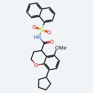 COc1ccc(C2CCCC2)c2c1C(C(=O)NS(=O)(=O)c1cccc3ccccc13)CCO2